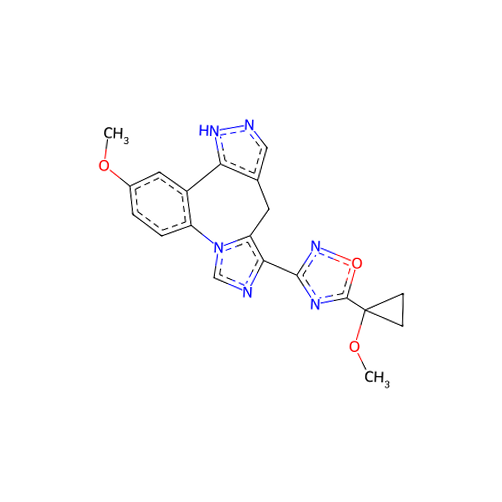 COc1ccc2c(c1)-c1[nH]ncc1Cc1c(-c3noc(C4(OC)CC4)n3)ncn1-2